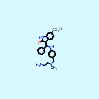 CCOC(=O)c1ccc2c(c1)NC(=O)C2=C(Nc1ccc(CN(C)CCN)cc1)c1ccccc1